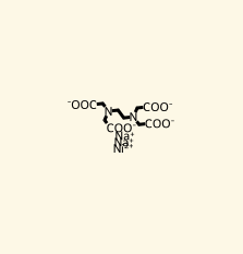 O=C([O-])CN(CCN(CC(=O)[O-])CC(=O)[O-])CC(=O)[O-].[Na+].[Na+].[Ni+2]